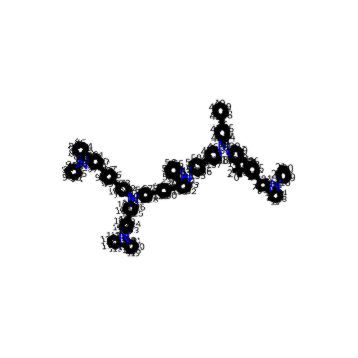 CC1(C)c2cc(-c3ccc4c5ccccc5n(-c5ccccc5)c4c3)ccc2-c2ccc(N(c3ccc(-c4ccccc4)cc3)c3ccc(-c4ccc(-n5c6ccccc6c6c(-c7ccc(-c8ccc(N(c9ccc(-c%10ccc(-c%11ccc%12c%13ccccc%13n(-c%13ccccc%13)c%12c%11)cc%10)cc9)c9ccc(-c%10ccc(-n%11c%12ccccc%12c%12ccccc%12%11)cc%10)cc9)cc8)cc7)cccc65)cc4)cc3)cc21